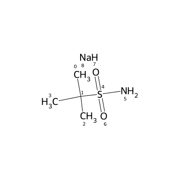 CC(C)(C)S(N)(=O)=O.[NaH]